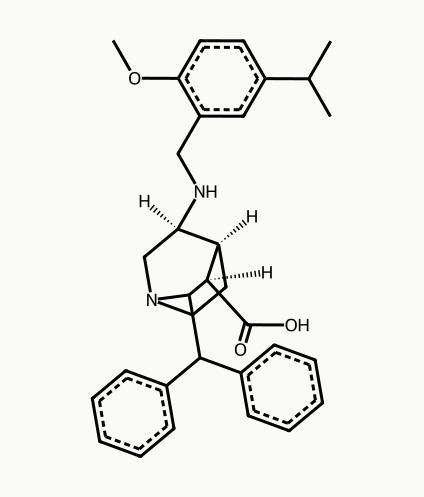 COc1ccc(C(C)C)cc1CN[C@@H]1CN2CC[C@H]1[C@@H](C(=O)O)C2C(c1ccccc1)c1ccccc1